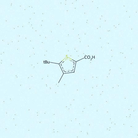 Cc1cc(C(=O)O)sc1C(C)(C)C